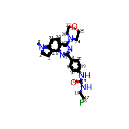 Cn1ccc2c3nc(-c4ccc(NC(=O)NCCF)cc4)nc(N4CCOCC4)c3ccc21